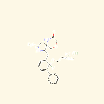 CNCCOC1(F)C(c2ccccc2)=CC=CC1CC1N[C@H](C)CC12COCC(=O)N2.Cl.Cl